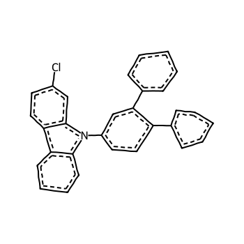 Clc1ccc2c3ccccc3n(-c3ccc(-c4ccccc4)c(-c4ccccc4)c3)c2c1